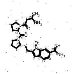 CCn1c(CC[C@@H]2CCCN2C(=O)[C@H]2CCCN2C(=O)CC(C)N)cc2ccc(C(=N)N)cc21